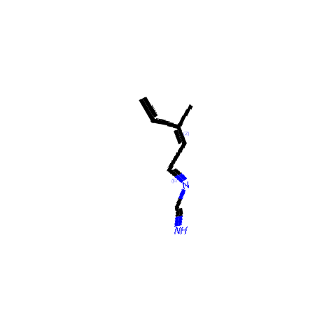 C=C/C(C)=C\C=N\C=N